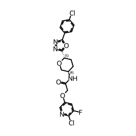 O=C(COc1cnc(Cl)c(F)c1)N[C@@H]1CC[C@@H](c2nnc(-c3ccc(Cl)cc3)o2)OC1